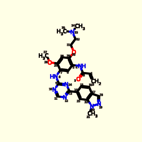 C=CC(=O)Nc1cc(Nc2ncnc(-c3ccc4cnn(C)c4c3)n2)c(OC)cc1OCCN(C)C